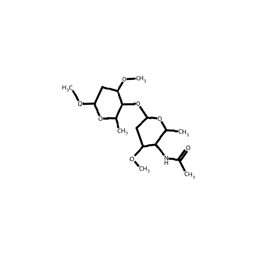 COC1CC(OC)C(OC2CC(OC)C(NC(C)=O)C(C)O2)C(C)O1